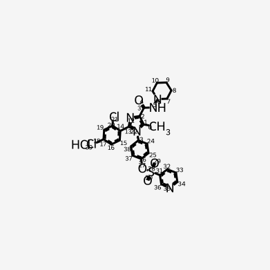 Cc1c(C(=O)NN2CCCCC2)nc(-c2ccc(Cl)cc2Cl)n1-c1ccc(OS(=O)(=O)c2cccnc2)cc1.Cl